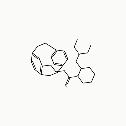 CCN(CC)CC1CCCCN1C(=O)CCCc1cc2ccc1CCc1ccc(cc1)CC2